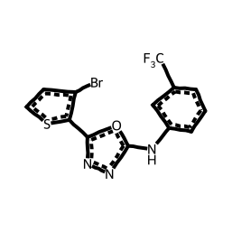 FC(F)(F)c1cccc(Nc2nnc(-c3sccc3Br)o2)c1